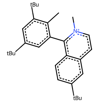 Cc1c(-c2c3ccc(C(C)(C)C)cc3cc[n+]2C)cc(C(C)(C)C)cc1C(C)(C)C